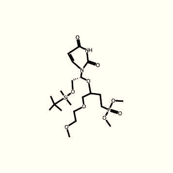 COCCOCC(CCP(=O)(OC)OC)O[C@H](CO[Si](C)(C)C(C)(C)C)n1ccc(=O)[nH]c1=O